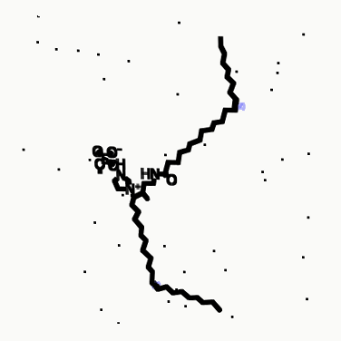 CCCCCCCC/C=C\CCCCCCCCCCCC(=O)NCCC(C)C(CCCCCCCCCC/C=C\CCCCCCCC)[N+]1=CNCC1.COS(=O)(=O)[O-]